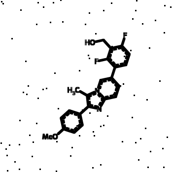 COc1ccc(-c2nc3ccc(-c4ccc(F)c(CO)c4F)cn3c2C)cc1